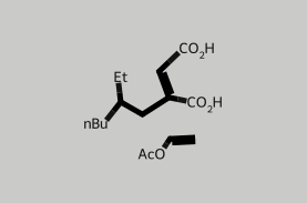 C=COC(C)=O.CCCCC(CC)C/C(=C/C(=O)O)C(=O)O